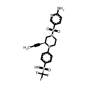 CC#C[C@H]1CN(S(=O)(=O)c2ccc(N)nc2)CCN1c1ccc([S@@](=N)(=O)C(F)(F)F)cc1